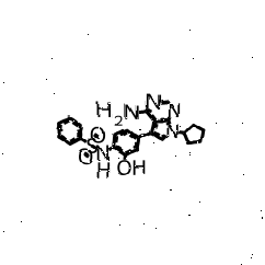 Nc1ncnc2c1c(-c1ccc(NS(=O)(=O)c3ccccc3)c(O)c1)cn2C1CCCC1